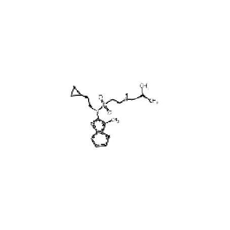 Cc1c(N(CCC2CC2)S(=O)(=O)CCNCC(C)C)sc2ccccc12